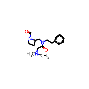 CN(C)CC(=O)N(CCc1ccccc1)CC1CCCN1C=O